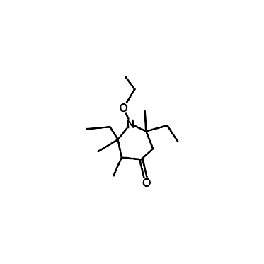 CCON1C(C)(CC)CC(=O)C(C)C1(C)CC